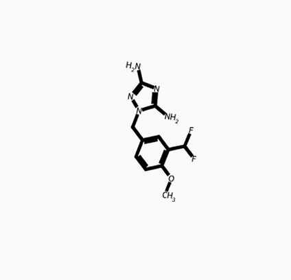 COc1ccc(Cn2nc(N)nc2N)cc1C(F)F